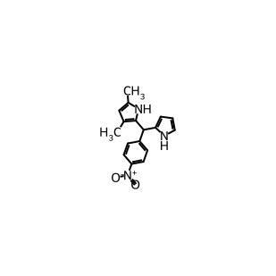 Cc1cc(C)c(C(c2ccc([N+](=O)[O-])cc2)c2ccc[nH]2)[nH]1